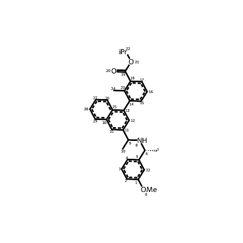 COc1cccc([C@@H](C)NC(C)c2cc(-c3cccc(C(=O)OC(C)C)c3C)c3ccccc3c2)c1